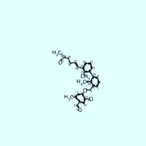 Cc1cc(OCc2cccc(-c3cccc(/C=C/CC[S+](C)[O-])c3C)c2C)c(Cl)cc1C=O